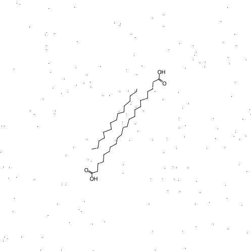 CCCCCCCCCCCCCCC.O=C(O)CCCCCCCCCCCCCCCCCCCCC(=O)O